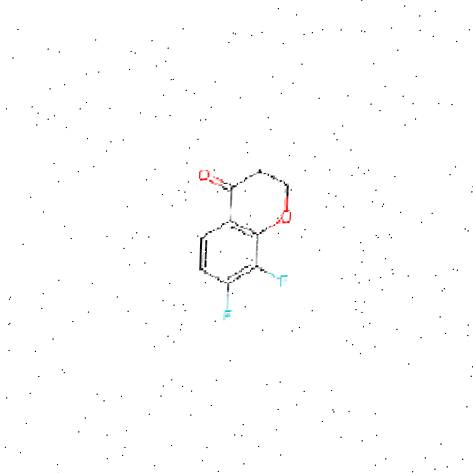 O=C1CCOc2c1ccc(F)c2F